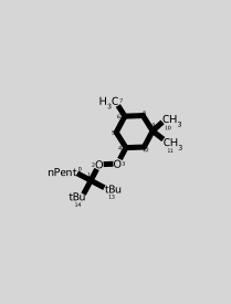 CCCCCC(OOC1CC(C)CC(C)(C)C1)(C(C)(C)C)C(C)(C)C